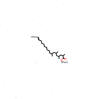 CCCCCCC=CCCCCCCCCC(C)CC(C)CC(C)CC(C)C(=O)OCCCCC